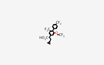 O=C(O)[C@@H](CC1CC1)c1cc(OCC(F)(F)F)c(-c2ccc(C(F)(F)F)cc2)c(C(F)(F)F)c1